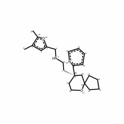 Cc1cc(CNCC[C@@]2(c3ccccn3)CCOC3(CCCC3)C2)oc1C